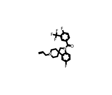 C=CCN1CCC2(CC1)CN(C(=O)c1ccc(F)c(C(F)(F)F)c1)c1ccc(F)cc12